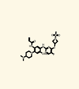 C=CC(=O)Nc1cc(Nc2ncc(F)c(SC3CN(S(C)(=O)=O)C3)n2)c(OC)cc1N1CCC(N(C)C)CC1